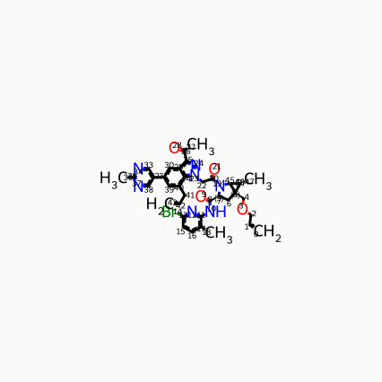 C=CCOC[C@@]12C[C@@H](C(=O)Nc3nc(Br)ccc3C)N(C(=O)Cn3nc(C(C)=O)c4cc(-c5cnc(C)nc5)cc(CC=C)c43)C1[C@@H]2C